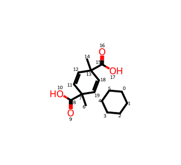 C1CCCCC1.CC1(C(=O)O)C=CC(C)(C(=O)O)C=C1